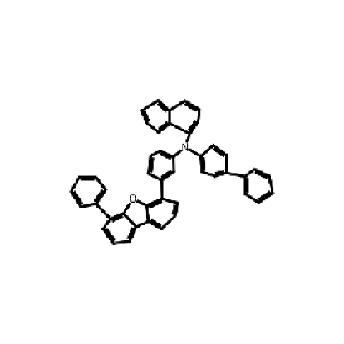 c1ccc(-c2ccc(N(c3cccc(-c4cccc5c4oc4c(-c6ccccc6)cccc45)c3)c3cccc4ccccc34)cc2)cc1